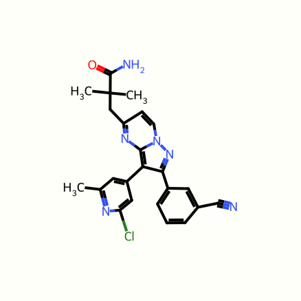 Cc1cc(-c2c(-c3cccc(C#N)c3)nn3ccc(CC(C)(C)C(N)=O)nc23)cc(Cl)n1